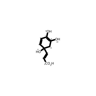 O=C(O)C=CC1(O)C=CC(O)=C(O)C1